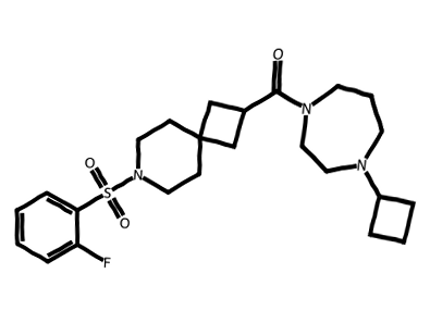 O=C(C1CC2(CCN(S(=O)(=O)c3ccccc3F)CC2)C1)N1CCCN(C2CCC2)CC1